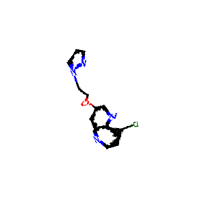 Clc1ccnc2cc(OCCn3cccn3)cnc12